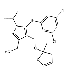 CC(C)n1nc(CO)c(COC2(C)CC=CO2)c1Sc1cc(Cl)cc(Cl)c1